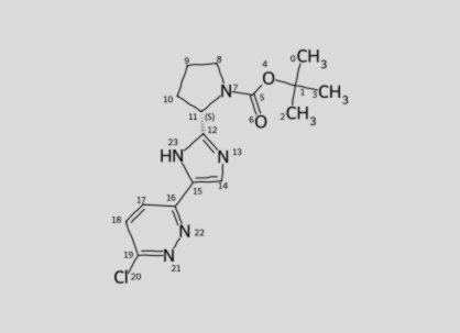 CC(C)(C)OC(=O)N1CCC[C@H]1c1ncc(-c2ccc(Cl)nn2)[nH]1